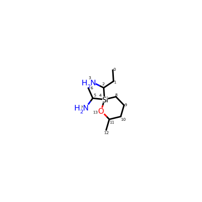 CCC(N)[Si]1(C(C)N)CCCC(C)O1